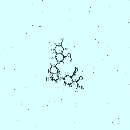 COc1cc(-c2cnc3[nH]cc(-c4ccc(C(=O)N(C)C)c(C#N)c4)c3n2)cc2c1CN(C)CC2